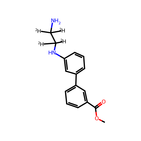 [2H]C([2H])(N)C([2H])([2H])Nc1cccc(-c2cccc(C(=O)OC)c2)c1